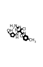 Cc1ccc2oc(-c3c(Cl)nc(N)nc3N[C@H]3CC[C@@H](CO)C3)nc2c1